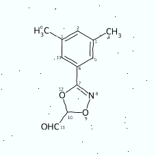 Cc1cc(C)cc(C2=NOC(C=O)O2)c1